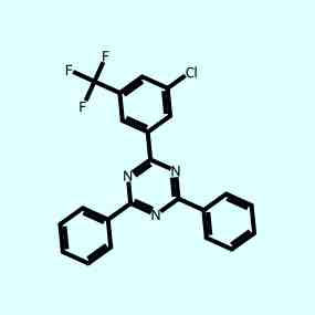 FC(F)(F)c1cc(Cl)cc(-c2nc(-c3ccccc3)nc(-c3ccccc3)n2)c1